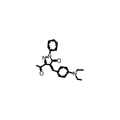 CCN(CC)c1ccc(/C=C2\C(=O)N(c3ccccc3)N=C2C(C)=O)cc1